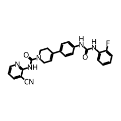 N#Cc1cccnc1NC(=O)N1CC=C(c2ccc(NC(=O)Nc3ccccc3F)cc2)CC1